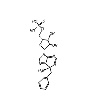 NC1(Cc2ccccc2)N=CN=C2C1=NCN2[C@@H]1O[C@H](COP(=O)(O)O)[C@@H](O)[C@H]1O